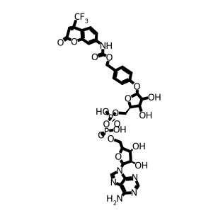 Nc1ncnc2c1ncn2C1OC(COP(=O)(O)OP(=O)(O)OC[C@H]2OC(Oc3ccc(COC(=O)Nc4ccc5c(C(F)(F)F)cc(=O)oc5c4)cc3)C(O)C2O)[C@@H](O)[C@H]1O